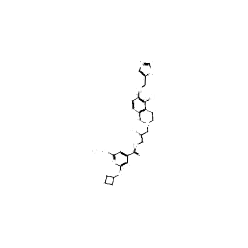 COc1cc(C(=O)NCC(O)CN2CCc3c(ccc(OCc4cnco4)c3Cl)C2)cc(NC2CCC2)n1